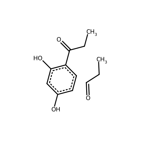 CCC(=O)c1ccc(O)cc1O.CCC=O